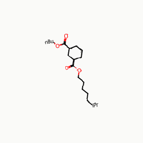 CCCCOC(=O)C1CCCC(C(=O)OCCCCCC(C)C)C1